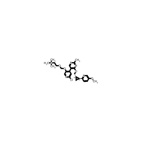 COc1ccc([C@H]2C[C@@H]2COc2nc(C)ncc2-c2cc(Cl)ncc2OCOCCS(C)(C)C)nc1